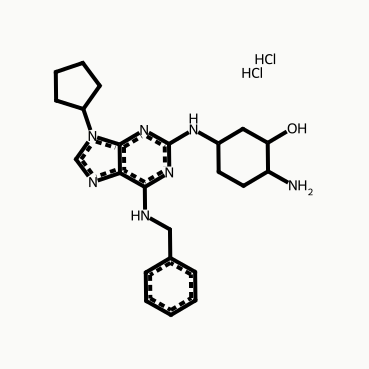 Cl.Cl.NC1CCC(Nc2nc(NCc3ccccc3)c3ncn(C4CCCC4)c3n2)CC1O